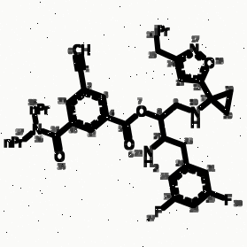 C#Cc1cc(C(=O)OC(CNC2(c3cc(CC(C)C)no3)CC2)C(N)Cc2cc(F)cc(F)c2)cc(C(=O)N(CCC)CCC)c1